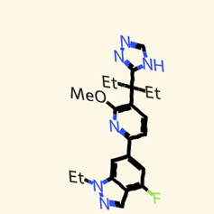 CCn1ncc2c(F)cc(-c3ccc(C(CC)(CC)c4nnc[nH]4)c(OC)n3)cc21